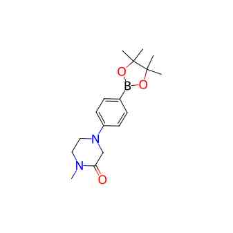 CN1CCN(c2ccc(B3OC(C)(C)C(C)(C)O3)cc2)CC1=O